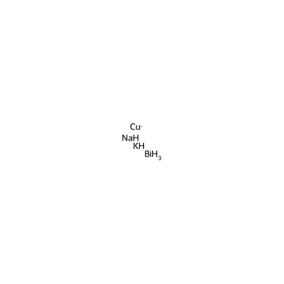 [BiH3].[Cu].[KH].[NaH]